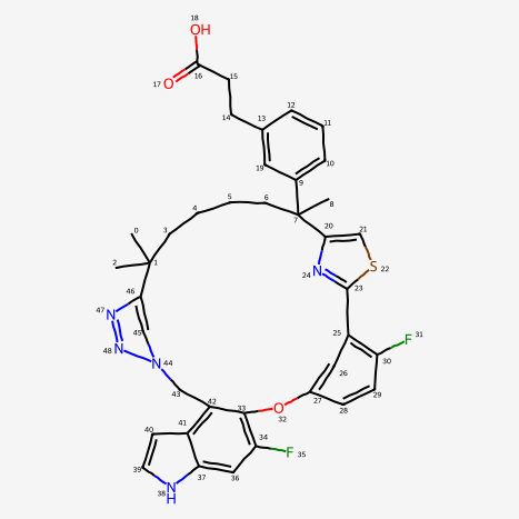 CC1(C)CCCCC(C)(c2cccc(CCC(=O)O)c2)c2csc(n2)-c2cc(ccc2F)Oc2c(F)cc3[nH]ccc3c2Cn2cc1nn2